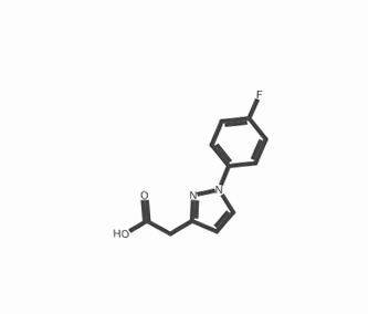 O=C(O)Cc1ccn(-c2ccc(F)cc2)n1